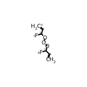 C=CC(F)OOOC(F)C=C